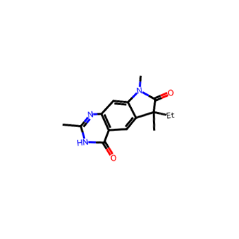 CCC1(C)C(=O)N(C)c2cc3nc(C)[nH]c(=O)c3cc21